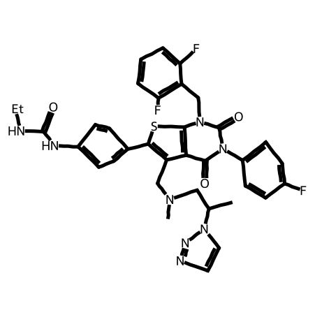 CCNC(=O)Nc1ccc(-c2sc3c(c2CN(C)CC(C)n2ccnn2)c(=O)n(-c2ccc(F)cc2)c(=O)n3Cc2c(F)cccc2F)cc1